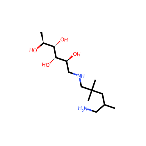 CC(CN)CC(C)(C)CNC[C@H](O)[C@H](O)[C@@H](O)[C@H](C)O